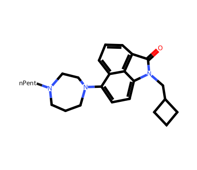 CCCCCN1CCCN(c2ccc3c4c(cccc24)C(=O)N3CC2CCC2)CC1